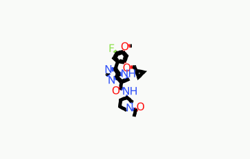 COc1cc(OCC2CC2)c(-c2ncnc3c(C(=O)N[C@@H]4CCCN(C(C)=O)C4)c[nH]c23)cc1F